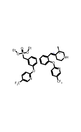 CCOP(=O)(Cc1cccc(Oc2ccc(C(F)(F)F)cn2)c1)OCC.C[C@H]1CNCC/C1=C\c1ccccc1Oc1ccc(C(F)(F)F)cn1